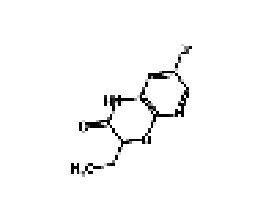 CCC1Oc2ncc(Br)cc2NC1=O